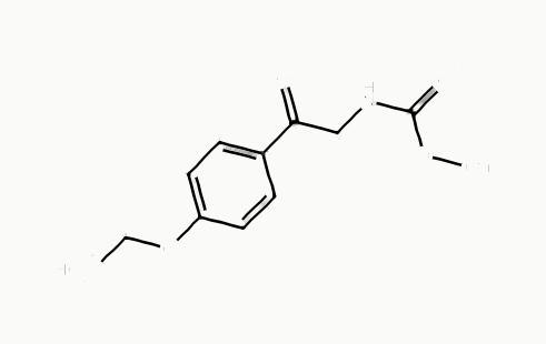 CC(C)(C)OC(=O)NCC(=O)c1ccc(OCC(=O)O)cc1